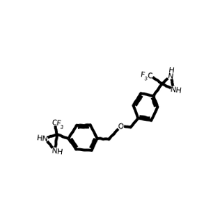 FC(F)(F)C1(c2ccc(COCc3ccc(C4(C(F)(F)F)NN4)cc3)cc2)NN1